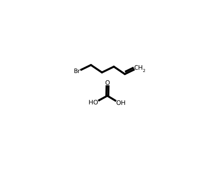 C=CCCCBr.O=C(O)O